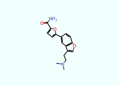 CN(C)CCc1coc2ccc(-c3ccc(C(N)=O)o3)cc12